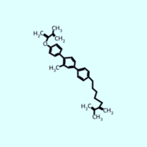 C=C(C)C(=C)CCCCCc1ccc(-c2ccc(-c3ccc(OC(=C)C(=C)C)cc3)c(C)c2)cc1